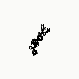 N#COC(N)=Nc1cccc(-c2ccnc3c(C(=O)c4cccs4)cnn23)c1